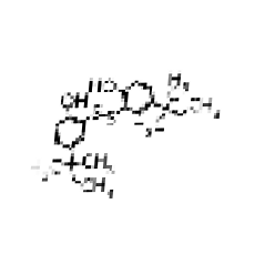 CCC(C)(C)c1ccc(O)c(SSc2cc(C(C)(C)CC)ccc2O)c1